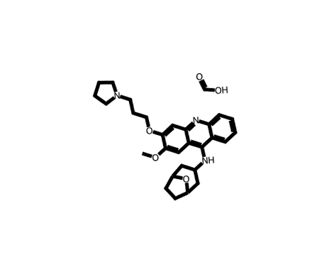 COc1cc2c(NC3CC4CCC(C3)O4)c3ccccc3nc2cc1OCCCN1CCCC1.O=CO